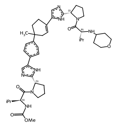 COC(=O)N[C@H](C(=O)N1CCC[C@H]1c1ncc(-c2ccc(C3(C)CC=C(c4cnc([C@@H]5CCCN5C(=O)[C@H](NC5CCOCC5)C(C)C)[nH]4)CC3)cc2)[nH]1)C(C)C